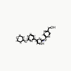 OCc1cnc(/N=c2/[nH]cc(-c3ccnc(OC4CCOCC4)n3)s2)cn1